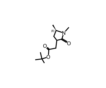 C[C@@H]1CC(CC(=O)OC(C)(C)C)C(=O)N1C